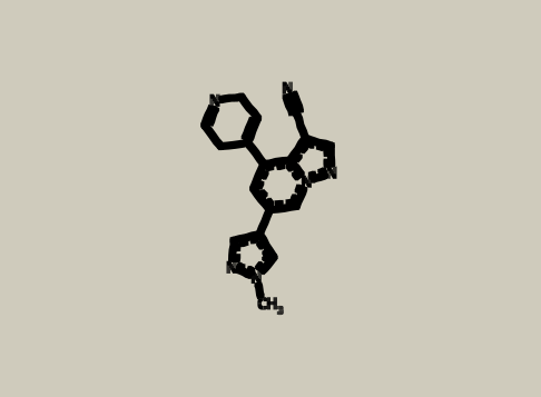 Cn1cc(-c2cc(C3=CCN=CC3)c3c(C#N)cnn3c2)cn1